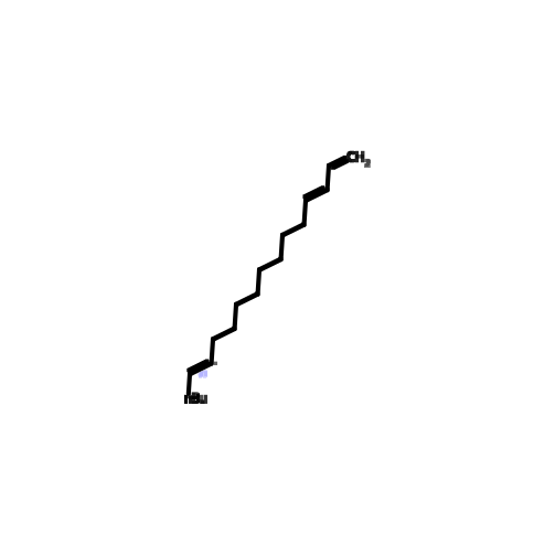 C=CC=CCCCCCCCC/[C]=C/CCCC